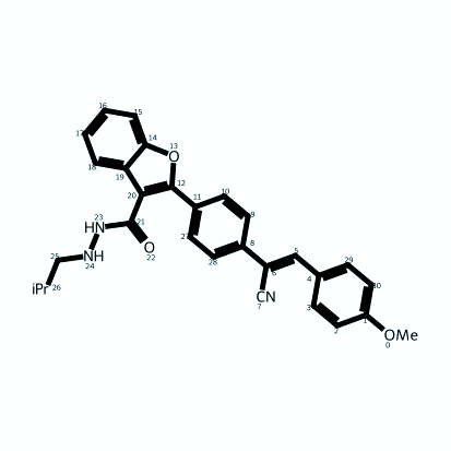 COc1ccc(C=C(C#N)c2ccc(-c3oc4ccccc4c3C(=O)NNCC(C)C)cc2)cc1